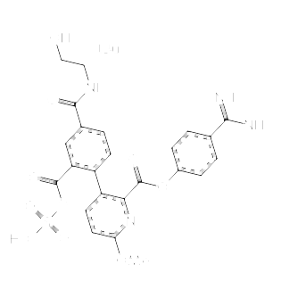 COc1ccc(-c2ccc(C(=O)N[C@H](CO)C(C)(C)C)cc2C(=O)OS(C)(=O)=O)c(C(=O)Oc2ccc(C(=N)N)cc2)n1